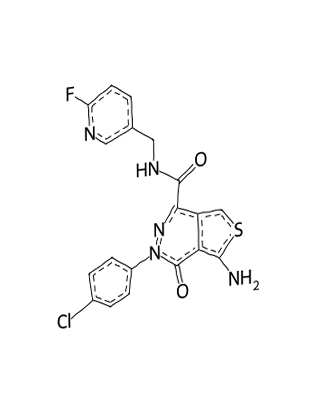 Nc1scc2c(C(=O)NCc3ccc(F)nc3)nn(-c3ccc(Cl)cc3)c(=O)c12